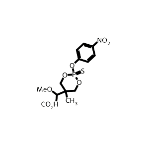 COC(C(=O)O)C1(C)COP(=S)(Oc2ccc([N+](=O)[O-])cc2)OC1